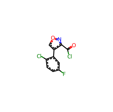 O=C(Cl)c1nocc1-c1cc(F)ccc1Cl